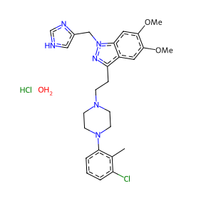 COc1cc2c(CCN3CCN(c4cccc(Cl)c4C)CC3)nn(Cc3c[nH]cn3)c2cc1OC.Cl.O